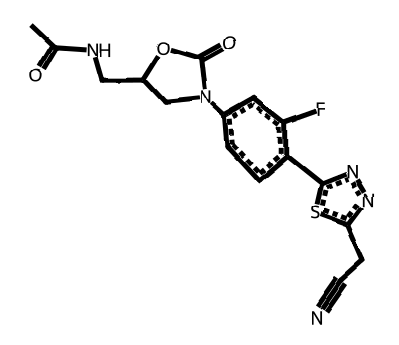 CC(=O)NCC1CN(c2ccc(-c3nnc(CC#N)s3)c(F)c2)C(=O)O1